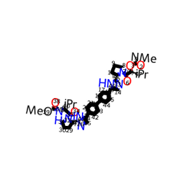 CNC(=O)O[C@H](C(=O)N1CCC[C@H]1c1ncc(-c2ccc(-c3ccc(-c4cnc([C@@H]5CCCN5C(=O)[C@@H](NC(=O)OC)C(C)C)[nH]4)cc3)cc2)[nH]1)C(C)C